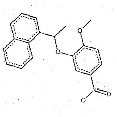 COc1ccc([N+](=O)[O-])cc1OC(C)c1cccc2ccccc12